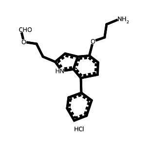 Cl.NCCOc1ccc(-c2ccccc2)c2[nH]c(CCOC=O)cc12